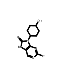 O=c1[nH]c2cnc(Cl)nc2n1C1CCC(O)CC1